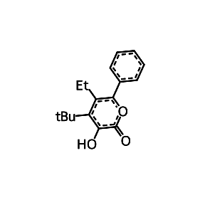 CCc1c(-c2ccccc2)oc(=O)c(O)c1C(C)(C)C